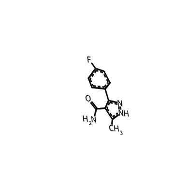 Cc1[nH]nc(-c2ccc(F)cc2)c1C(N)=O